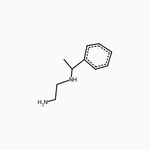 CC(NCCN)c1ccccc1